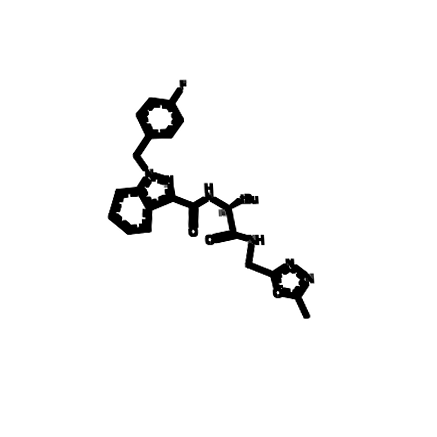 Cc1nnc(CNC(=O)[C@@H](NC(=O)c2nn(Cc3ccc(F)cc3)c3ccccc23)C(C)(C)C)o1